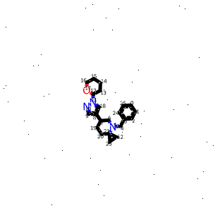 c1ccc(CN2CC(c3cnn(C4CCCCO4)c3)CCC23CC3)cc1